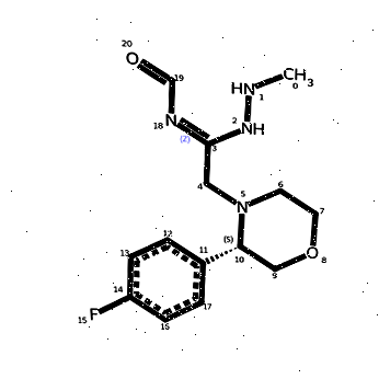 CNN/C(CN1CCOC[C@@H]1c1ccc(F)cc1)=N\C=O